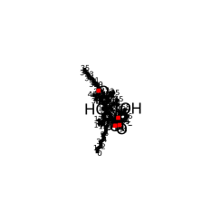 CCCCCCCCOc1c(C(C)(C)C)cc(C(O)(c2cc(C(C)(C)C)c(OCCCCCCCC)c(C(C)(C)C)c2)C(CC(C)C)N=Cc2cc([N+](=O)[O-])ccc2O)cc1C(C)(C)C